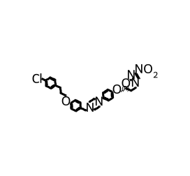 O=[N+]([O-])c1cn2c(n1)O[C@@H](COc1ccc(N3CCN(Cc4ccc(OCCCc5ccc(Cl)cc5)cc4)CC3)cc1)CC2